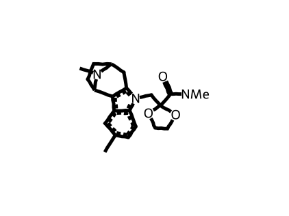 CNC(=O)C1(Cn2c3c(c4cc(C)ccc42)C2CCC(C3)N2C)OCCO1